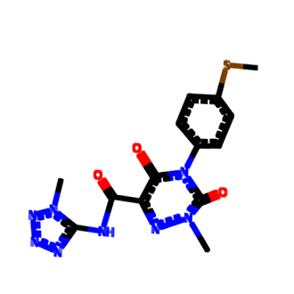 CSc1ccc(-n2c(=O)c(C(=O)Nc3nnnn3C)nn(C)c2=O)cc1